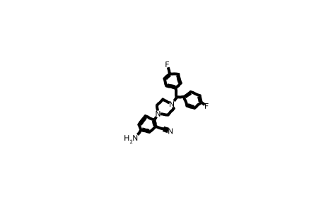 N#Cc1cc(N)ccc1N1CCN(C(c2ccc(F)cc2)c2ccc(F)cc2)CC1